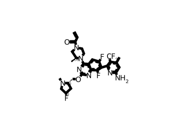 C=CC(=O)N1CCN(c2nc(OC[C@@H]3C[C@@H](F)CN3C)nc3c(F)c(-c4nc(N)cc(C)c4C(F)(F)F)c(F)cc23)[C@@H](C)C1